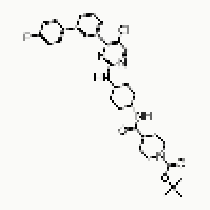 CC(C)(C)OC(=O)N1CCC(C(=O)N[C@H]2CC[C@H](Nc3ncc(Cl)c(-c4cccc(-c5ccc(F)cc5)c4)n3)CC2)CC1